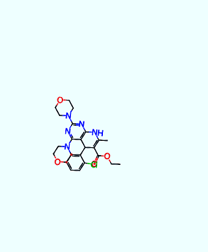 CCOC(=O)C1=C(C)Nc2nc(N3CCOCC3)nc(N3CCOCC3)c2C1c1ccccc1Cl